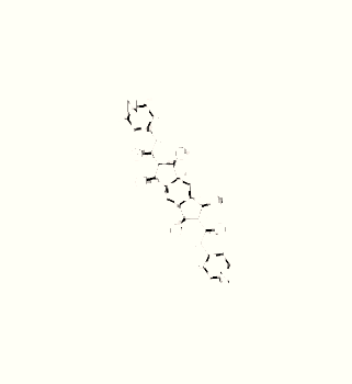 O=C(Cc1ccncc1)C1C(=O)c2cc3c(cc2C1=O)C(=O)C(C(=O)Cc1ccncc1)C3=O